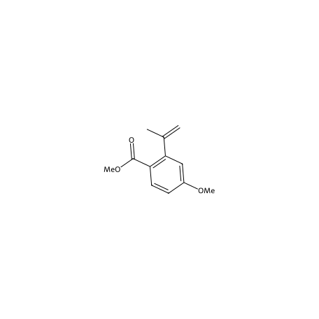 C=C(C)c1cc(OC)ccc1C(=O)OC